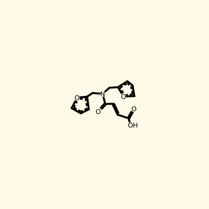 O=C(O)/C=C/C(=O)N(Cc1ccco1)Cc1ccco1